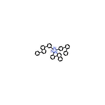 c1ccc(-c2ccccc2-c2ccc(-c3nc(-c4cccc(-c5cccc6c(-c7ccccc7)cccc56)c4)nc(-c4ccccc4-c4cccc5ccccc45)n3)cc2)cc1